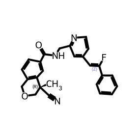 C[C@@]1(C#N)COCc2ccc(C(=O)NCc3cc(/C=C(\F)c4ccccc4)ccn3)cc21